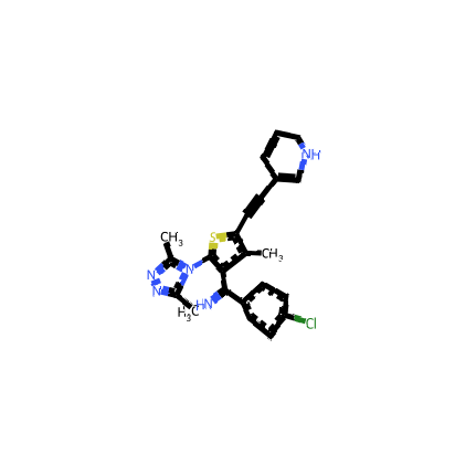 Cc1c(C#CC2=CNCC=C2)sc(-n2c(C)nnc2C)c1C(=N)c1ccc(Cl)cc1